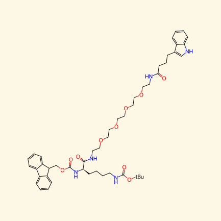 CC(C)(C)OC(=O)NCCCC[C@@H](NC(=O)OCC1c2ccccc2-c2ccccc21)C(=O)NCCOCCOCCOCCOCCNC(=O)CCCc1c[nH]c2ccccc12